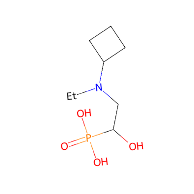 [CH2]CN(CC(O)P(=O)(O)O)C1CCC1